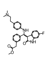 COC(=O)Cc1cccc(C(Nc2ccc(CCN(C)C)cc2)=C2C(=O)Nc3cc(F)ccc32)c1